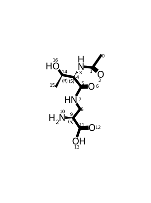 CC(=O)N[C@H](C(=O)NC[C@H](N)C(=O)O)[C@@H](C)O